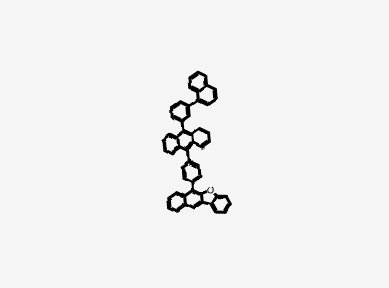 c1cc(-c2cccc3ccccc23)cc(-c2c3ccccc3c(-c3ccc(-c4c5ccccc5cc5c4oc4ccccc45)cc3)c3ccccc23)c1